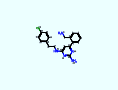 NCc1ccccc1-c1cc(NCCc2ccc(Cl)cc2)nc(N)n1